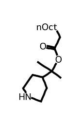 CCCCCCCCCC(=O)OC(C)(C)C1CCNCC1